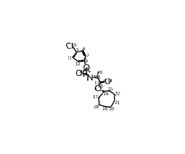 C[C@H](N=[P+]([O-])Oc1ccc(Cl)cc1)C(=O)OC1CCCCCCC1